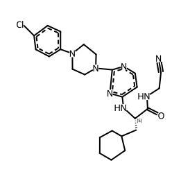 N#CCNC(=O)[C@H](CC1CCCCC1)Nc1ccnc(N2CCN(c3ccc(Cl)cc3)CC2)n1